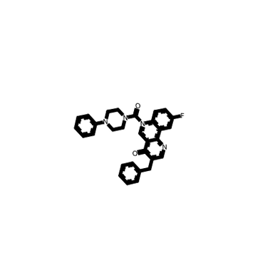 O=C(N1CCN(c2ccccc2)CC1)n1cc2c(=O)c(Cc3ccccc3)cnc-2c2cc(F)ccc21